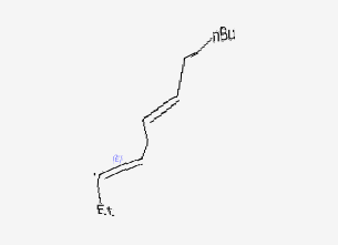 CC/[C]=C/C=CCCCCC